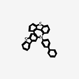 Cc1cccc2sc3cccc(N(c4ccc(-c5ccccc5)cc4)c4ccc5sc6ccccc6c5c4)c3c12